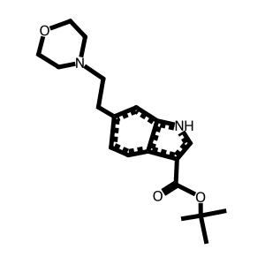 CC(C)(C)OC(=O)c1c[nH]c2cc(CCN3CCOCC3)ccc12